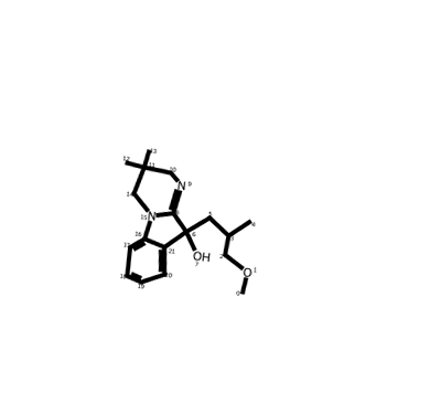 COCC(C)CC1(O)C2=NCC(C)(C)CN2c2ccccc21